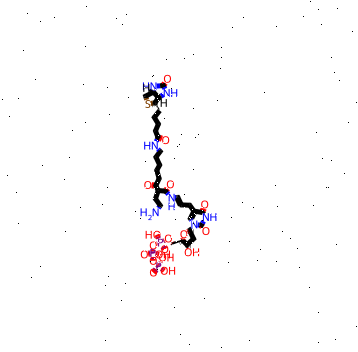 NCCC(C(=O)CCCCCNC(=O)CCCC[C@@H]1SC[C@@H]2NC(=O)N[C@@H]21)C(=O)NC=CCc1cn([C@H]2C[C@H](O)[C@@H](COP(=O)(O)OP(=O)(O)OP(=O)(O)O)O2)c(=O)[nH]c1=O